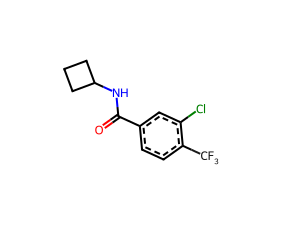 O=C(NC1CCC1)c1ccc(C(F)(F)F)c(Cl)c1